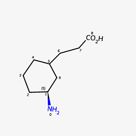 N[C@H]1CCCC(CCC(=O)O)C1